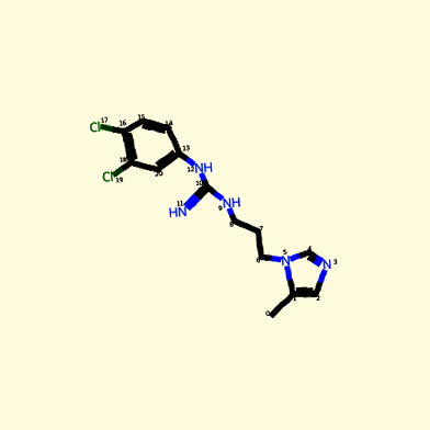 Cc1cncn1CCCNC(=N)Nc1ccc(Cl)c(Cl)c1